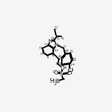 BCS(=O)(=O)OCCC1CCCc2nc(C(C)C)n(Cc3ccc(Cl)cc3)c21